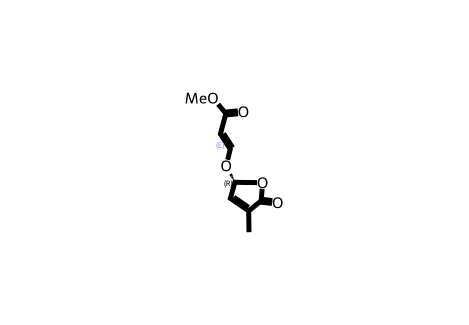 COC(=O)/C=C/O[C@H]1C=C(C)C(=O)O1